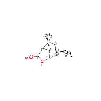 C[C@@H]1C[C@H](C)C2CC1OC2=O